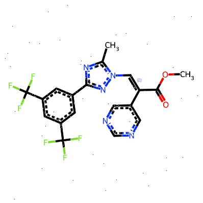 COC(=O)/C(=C/n1nc(-c2cc(C(F)(F)F)cc(C(F)(F)F)c2)nc1C)c1cncnc1